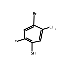 Cc1cc(S)c(F)cc1Br